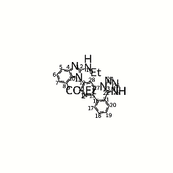 CCNc1nc2cccc(C(=O)OCC)c2n1-c1ccc(-c2ccccc2-c2nnn[nH]2)cc1